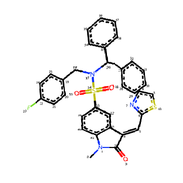 CN1C(=O)/C(=C/c2nccs2)c2cc(S(=O)(=O)N(Cc3ccc(F)cc3)C(c3ccccc3)c3ccccc3)ccc21